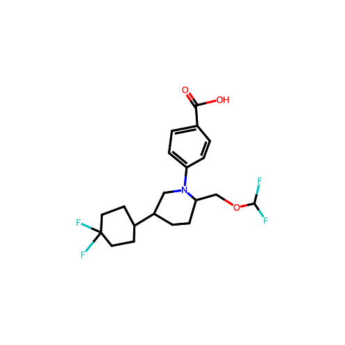 O=C(O)c1ccc(N2CC(C3CCC(F)(F)CC3)CCC2COC(F)F)cc1